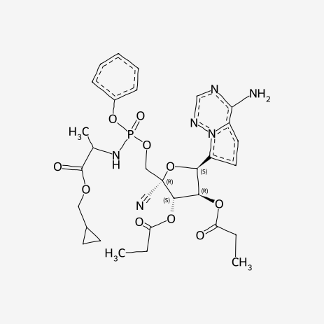 CCC(=O)O[C@@H]1[C@H](c2ccc3c(N)ncnn23)O[C@](C#N)(COP(=O)(NC(C)C(=O)OCC2CC2)Oc2ccccc2)[C@H]1OC(=O)CC